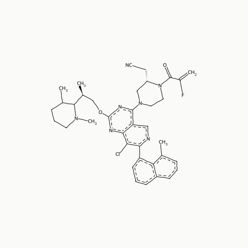 C=C(F)C(=O)N1CCN(c2nc(OC[C@H](C)C3C(C)CCCN3C)nc3c(Cl)c(-c4cccc5cccc(C)c45)ncc23)C[C@@H]1CC#N